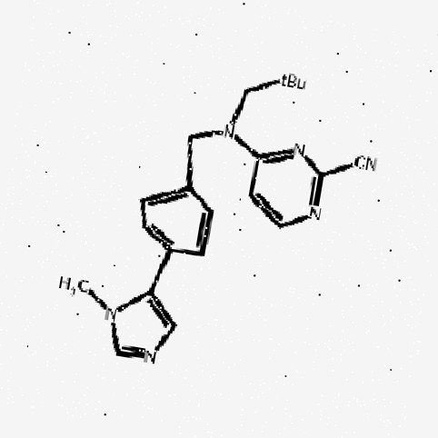 Cn1cncc1-c1ccc(CN(CC(C)(C)C)c2ccnc(C#N)n2)cc1